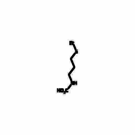 CCSCCCNC(=O)O